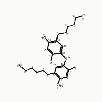 Cc1cc(O)c(CCCCCC(C)C)cc1Sc1cc(CCCCCC(C)C)c(O)cc1C